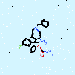 NCC(c1cccc(F)c1)(C1CCN(Cc2ccccc2)CC1)[C@H]1CCC[C@@H]1OC(N)=O